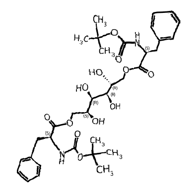 CC(C)(C)OC(=O)N[C@@H](Cc1ccccc1)C(=O)OC[C@@H](O)[C@@H](O)[C@H](O)[C@@H](O)COC(=O)[C@H](Cc1ccccc1)NC(=O)OC(C)(C)C